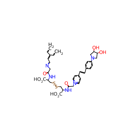 C=CC(C=C)=C/C=N/CC(=O)NC(CSSCC(NC(=O)C[n+]1ccc(/C=C/c2ccc(N3CC(O)C(O)C3)cc2)cc1)C(=O)O)C(=O)O